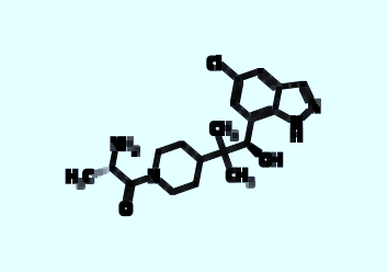 C[C@H](N)C(=O)N1CCC(C(C)(C)[C@H](O)c2cc(Cl)cc3cn[nH]c23)CC1